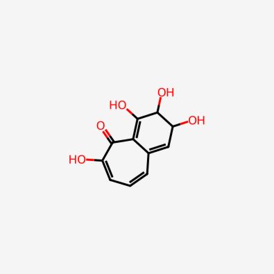 O=c1c(O)cccc2c1=C(O)C(O)C(O)C=2